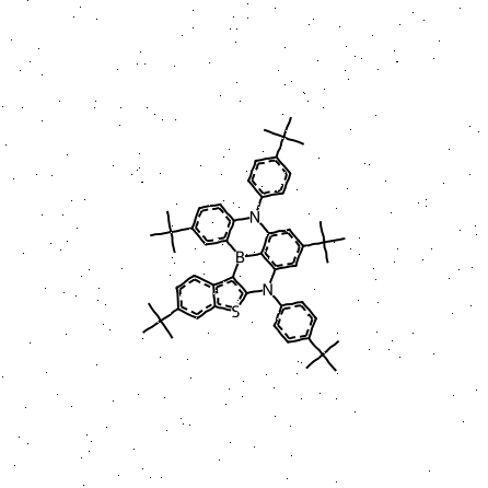 CC(C)(C)c1ccc(N2c3ccc(C(C)(C)C)cc3B3c4c2cc(C(C)(C)C)cc4N(c2ccc(C(C)(C)C)cc2)c2sc4cc(C(C)(C)C)ccc4c23)cc1